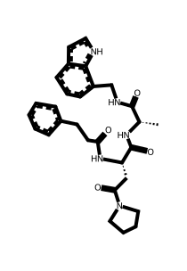 C[C@H](NC(=O)[C@H](CC(=O)N1CCCC1)NC(=O)CCc1ccccc1)C(=O)NCc1cccc2cc[nH]c12